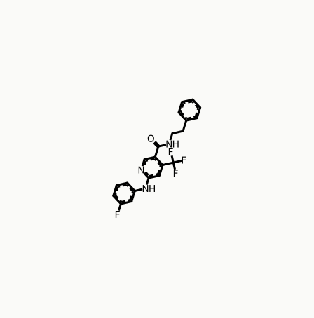 O=C(NCCc1ccccc1)c1cnc(Nc2cccc(F)c2)cc1C(F)(F)F